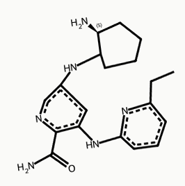 CCc1cccc(Nc2cc(NC3CCCC[C@@H]3N)cnc2C(N)=O)n1